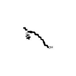 CCCC[C@H](C#CCCCCCCCC#CCCCO)O[Si](C)(C)C(C)(C)C